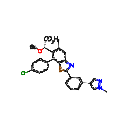 Cc1cc2nc(-c3cccc(-c4cnn(C)c4)c3)sc2c(-c2ccc(Cl)cc2)c1[C@H](OC(C)(C)C)C(=O)O